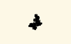 COc1cccc(C(=O)NCC2C3CC(C)CC3CN2C(=O)c2nc(C)sc2-c2cccc(C)c2)c1